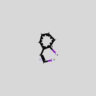 I/C=C\c1ccccc1I